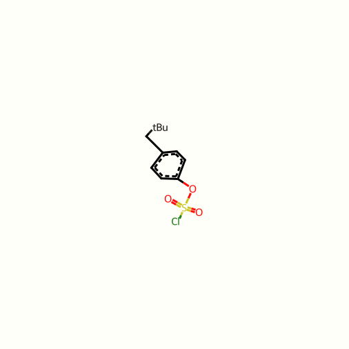 CC(C)(C)Cc1ccc(OS(=O)(=O)Cl)cc1